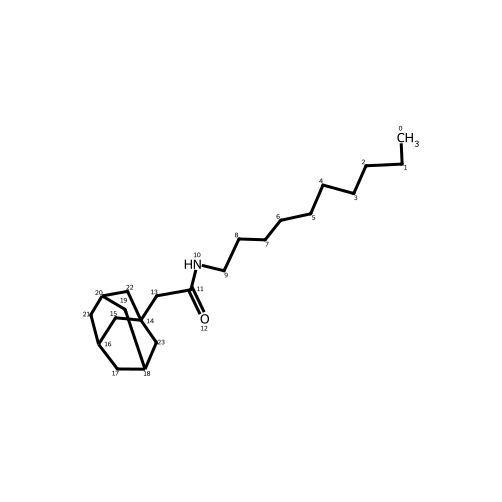 CCCCCCCCCCNC(=O)CC12CC3CC(CC(C3)C1)C2